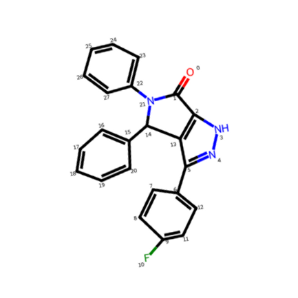 O=C1c2[nH]nc(-c3ccc(F)cc3)c2C(c2ccccc2)N1c1ccccc1